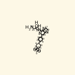 CS(=O)(=O)N1CCC(c2ccc(-c3cc4nccnc4c(NCC(O)CN)n3)cc2)CC1